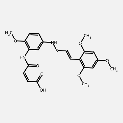 COc1cc(OC)c(/C=C/SNc2ccc(OC)c(NC(=O)/C=C\C(=O)O)c2)c(OC)c1